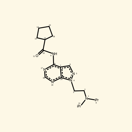 CC(C)N(CCn1ncc2c(NC(=O)C3CCCC3)ncnc21)C(C)C